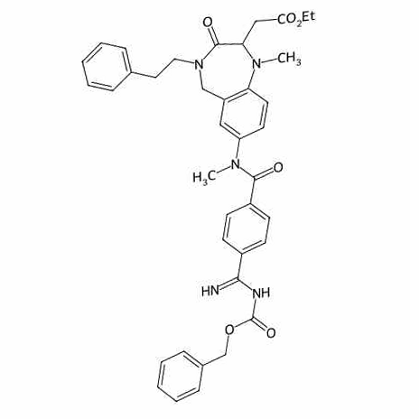 CCOC(=O)CC1C(=O)N(CCc2ccccc2)Cc2cc(N(C)C(=O)c3ccc(C(=N)NC(=O)OCc4ccccc4)cc3)ccc2N1C